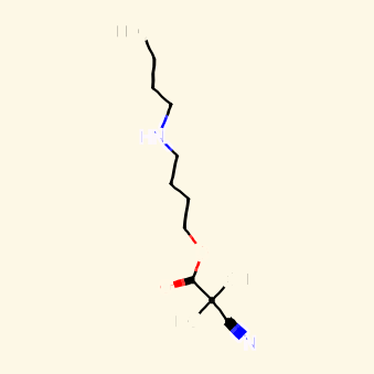 CCCCNCCCCOC(=O)C(C)(C)C#N